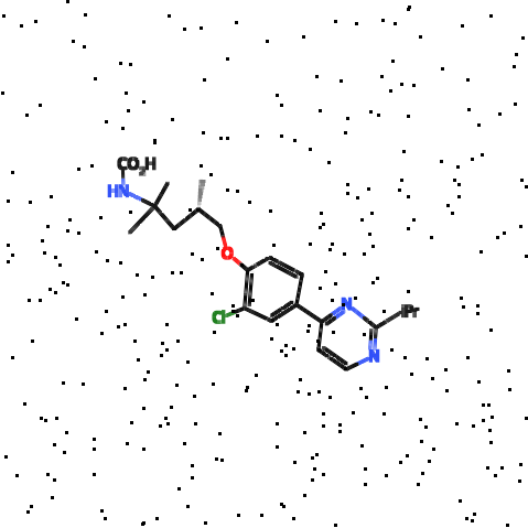 CC(C)c1nccc(-c2ccc(OC[C@@H](C)CC(C)(C)NC(=O)O)c(Cl)c2)n1